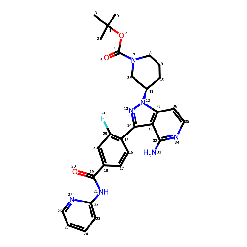 CC(C)(C)OC(=O)N1CCC[C@@H](n2nc(-c3ccc(C(=O)Nc4ccccn4)cc3F)c3c(N)nccc32)C1